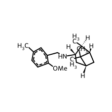 COc1ccc(C)cc1CN[C@H]1C[C@H]2C[C@@H]([C@@H]1C)C2(C)C